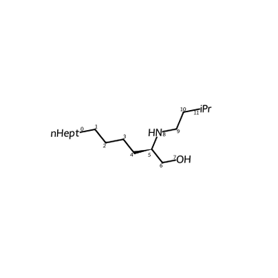 CCCCCCCCCCC[C@H](CO)NCCC(C)C